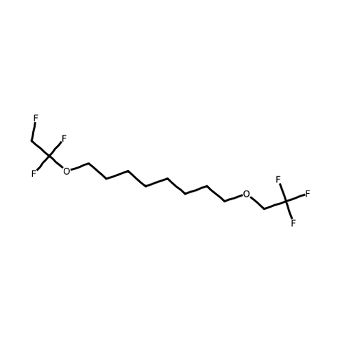 FCC(F)(F)OCCCCCCCCOCC(F)(F)F